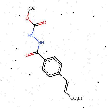 CCOC(=O)/C=C/c1ccc(C(=O)NNC(=O)OC(C)(C)C)cc1